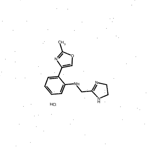 Cc1nc(-c2ccccc2NCC2=NCCN2)co1.Cl